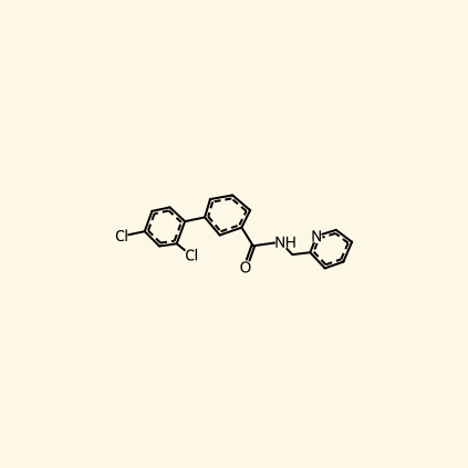 O=C(NCc1ccccn1)c1cccc(-c2ccc(Cl)cc2Cl)c1